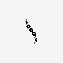 C/C=C/C[C@H]1CC[C@H](c2ccc(-c3ccc(COC/C=C/CC)cc3)cc2)CC1